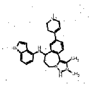 CC1=C2c3ccc(C4=CCNCC4)cc3C(Nc3cccc4[nH]ccc34)CCN2NN1C